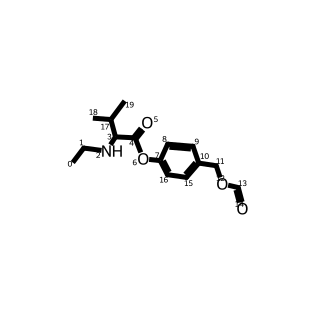 CCNC(C(=O)Oc1ccc(COC=O)cc1)C(C)C